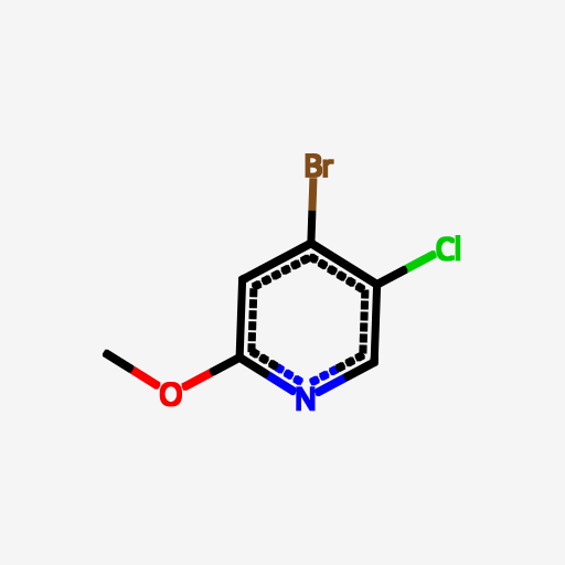 COc1cc(Br)c(Cl)cn1